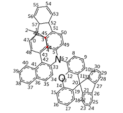 CC1(C)c2cc(N(c3cccc4c3Oc3ccccc3C43c4ccccc4-c4ccccc43)c3ccc4ccccc4c3C3=CCCC=C3)ccc2C2C=CC=CC21